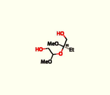 CC[C@@](CO)(OC)OC(CO)OC